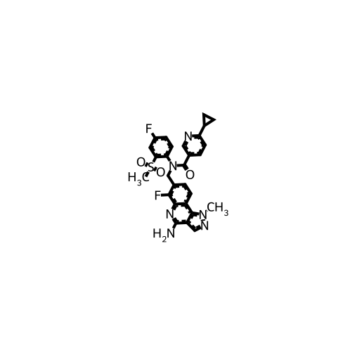 Cn1ncc2c(N)nc3c(F)c(CN(C(=O)c4ccc(C5CC5)nc4)c4ccc(F)cc4S(C)(=O)=O)ccc3c21